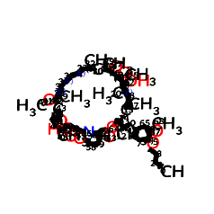 C#CCCCO[C@@H]1CC[C@@H](C[C@@H](C)[C@@H]2CC[C@H](C)/C=C(\C)[C@@H](O)[C@@H](OC)C(=O)[C@H](C)C[C@H](C)/C=C/C=C/C=C(\C)[C@@H](OC)C[C@@H]3CC[C@@H](C)[C@@](O)(O3)C(=O)C(=O)N3CCCC[C@H]3C(=O)O2)C[C@H]1OC